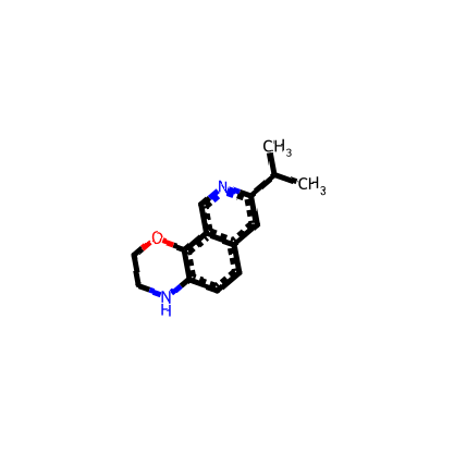 CC(C)c1cc2ccc3c(c2cn1)OCCN3